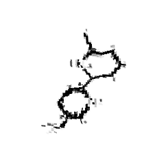 CC1CCCC(c2ccc(C(F)(F)F)cn2)N1